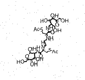 CC(=O)SC[C@H](NCCN[C@@H](CSC(C)=O)C(=O)NC1C(O)O[C@H](CO)[C@@H](O)[C@@H]1O)C(=O)NC1C(O)O[C@H](CO)[C@@H](O)[C@@H]1O